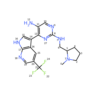 CN1CCCC1CNc1ncc(N)c(-c2c[nH]c3ncc(C(F)(F)F)cc23)n1